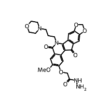 COc1cc2c(=O)n(CCCN3CCOCC3)c3c(c2cc1OCC(=O)NN)C(=O)c1cc2c(cc1-3)OCO2